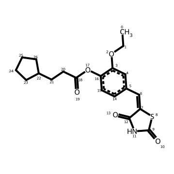 CCOc1cc(C=C2SC(=O)NC2=O)ccc1OC(=O)CCC1CCCC1